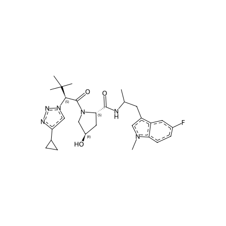 CC(Cc1cn(C)c2ccc(F)cc12)NC(=O)[C@@H]1C[C@@H](O)CN1C(=O)[C@@H](n1cc(C2CC2)nn1)C(C)(C)C